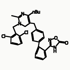 CCCCC1=C(Cc2ccc(-c3ccccc3-c3noc(=O)[nH]3)cc2)CN(Cc2c(Cl)cccc2Cl)C(C)=N1